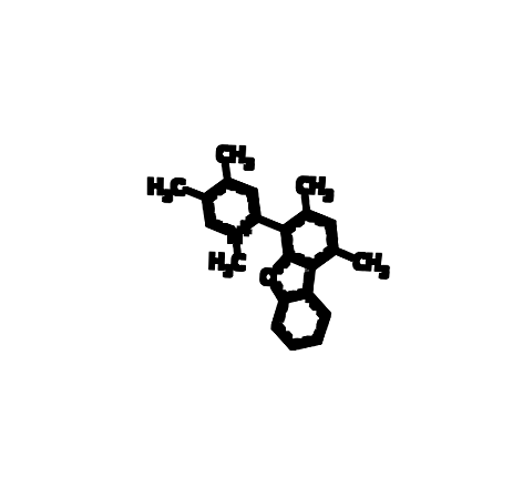 Cc1cc(-c2c(C)cc(C)c3c2oc2ccccc23)[n+](C)cc1C